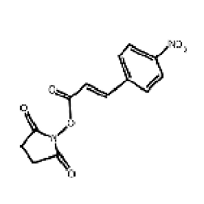 O=C(C=Cc1ccc([N+](=O)[O-])cc1)ON1C(=O)CCC1=O